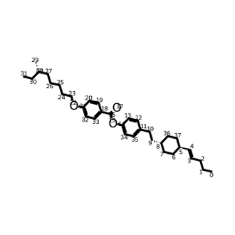 CCCC=C[C@H]1CC[C@H](CCc2ccc(OC(=O)c3ccc(OCCCCC[C@@H](C)CC)cc3)cc2)CC1